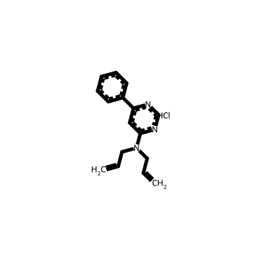 C=CCN(CC=C)c1cc(-c2ccccc2)ncn1.Cl